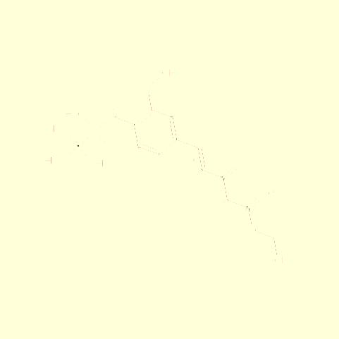 CCOC(=O)CC(=O)/C=C/c1ccc(O[Si](C)(C)C(C)(C)C)c(OC)c1